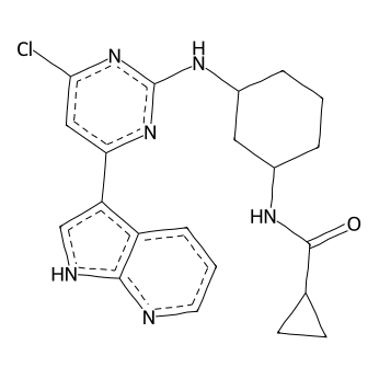 O=C(NC1CCCC(Nc2nc(Cl)cc(-c3c[nH]c4ncccc34)n2)C1)C1CC1